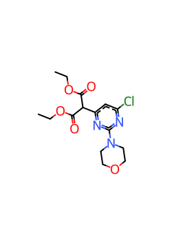 CCOC(=O)C(C(=O)OCC)c1cc(Cl)nc(N2CCOCC2)n1